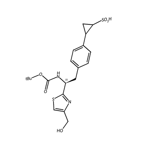 CC(C)(C)OC(=O)N[C@@H](Cc1ccc(C2CC2S(=O)(=O)O)cc1)c1nc(CO)cs1